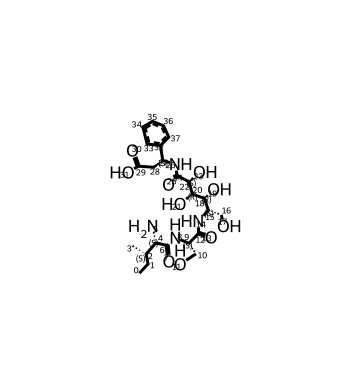 CC[C@H](C)[C@H](N)C(=O)N[C@@H](CO)C(=O)N[C@@H](CO)[C@@H](O)[C@@H](O)[C@H](O)C(=O)N[C@@H](CC(=O)O)c1ccccc1